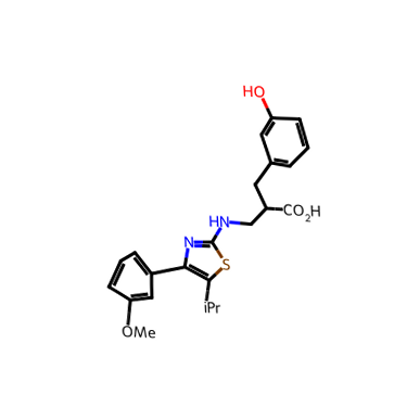 COc1cccc(-c2nc(NCC(Cc3cccc(O)c3)C(=O)O)sc2C(C)C)c1